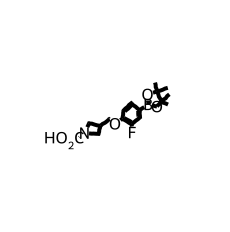 CC1(C)OB(c2ccc(OCC3CN(C(=O)O)C3)c(F)c2)OC1(C)C